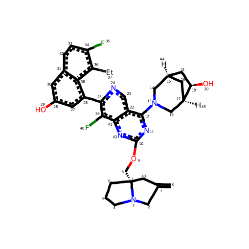 C=C1CN2CCC[C@@]2(COc2nc(N3C[C@@H]4C[C@H](C3)[C@H](O)C4)c3cnc(-c4cc(O)cc5ccc(F)c(CC)c45)c(F)c3n2)C1